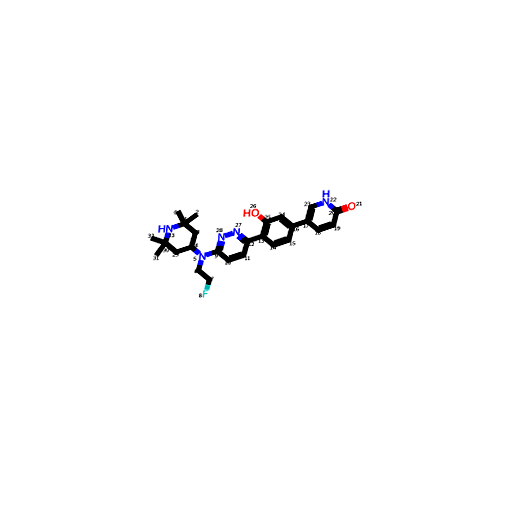 CC1(C)CC(N(CCF)c2ccc(-c3ccc(-c4ccc(=O)[nH]c4)cc3O)nn2)CC(C)(C)N1